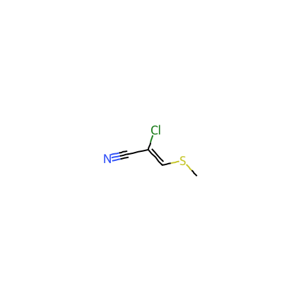 CS/C=C(\Cl)C#N